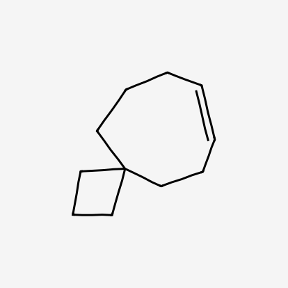 C1=CCCC2(CCC1)CCC2